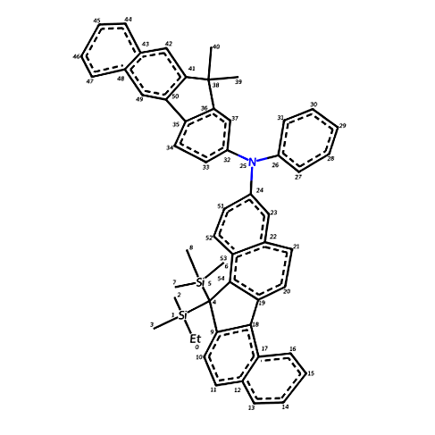 CC[Si](C)(C)C1([Si](C)(C)C)c2ccc3ccccc3c2-c2ccc3cc(N(c4ccccc4)c4ccc5c(c4)C(C)(C)c4cc6ccccc6cc4-5)ccc3c21